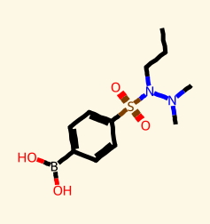 CCCN(N(C)C)S(=O)(=O)c1ccc(B(O)O)cc1